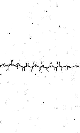 CCCNNNNNNNNNNNNNNNNNS